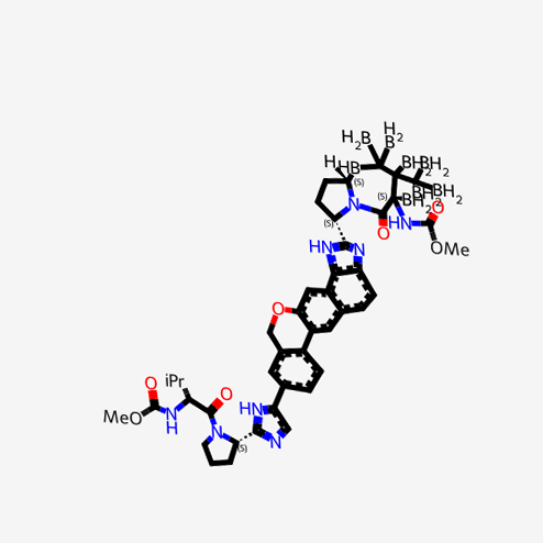 BC(B)(B)C1(B)C(B)(B)B[C@H]2CC[C@@H](c3nc4ccc5cc6c(cc5c4[nH]3)OCc3cc(-c4cnc([C@@H]5CCCN5C(=O)C(NC(=O)OC)C(C)C)[nH]4)ccc3-6)N2C(=O)[C@@]1(B)NC(=O)OC